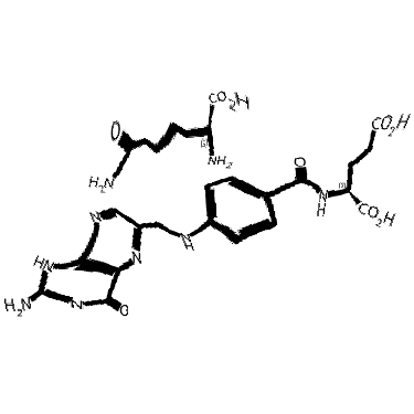 NC(=O)CC[C@H](N)C(=O)O.Nc1nc(=O)c2nc(CNc3ccc(C(=O)N[C@@H](CCC(=O)O)C(=O)O)cc3)cnc2[nH]1